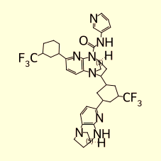 O=C(Nc1cccnc1)N1c2nc(C3CCCC(C(F)(F)F)C3)ccc2N2C[C@@H]1CC2C1CC(c2ccc3c(n2)N[C@H]2CCN3C2)CC(C(F)(F)F)C1